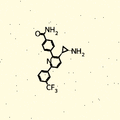 NC(=O)c1ccc(-c2nc(-c3cccc(C(F)(F)F)c3)ccc2[C@H]2C[C@@H]2N)cc1